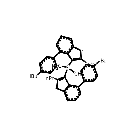 CCCC1=C([Si](C)(C)C2=C(CCC)[CH]c3cccc(-c4ccc(C(C)CC)cc4)c32)c2c(cccc2-c2ccc(C(C)CC)cc2)[CH]1